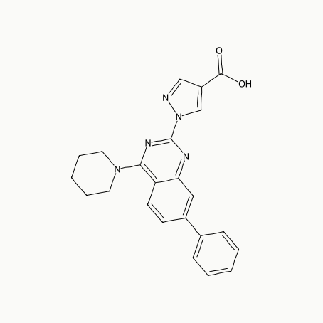 O=C(O)c1cnn(-c2nc(N3CCCCC3)c3ccc(-c4ccccc4)cc3n2)c1